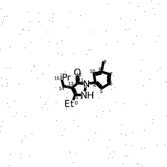 CCc1[nH]n(-c2cccc(C)c2)c(=O)c1CC(C)C